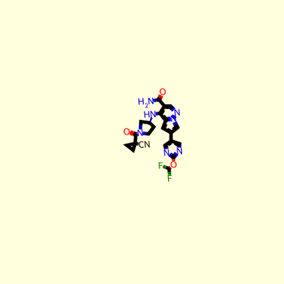 N#CC1(C(=O)N2CC[C@H](Nc3c(C(N)=O)cnn4cc(-c5cnc(OC(F)F)nc5)cc34)C2)CC1